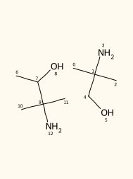 CC(C)(N)CO.CC(O)C(C)(C)N